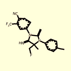 C=C1N(c2ccc(C#N)c(C(F)(F)F)c2)C(=N)C(C)(CF)N1c1ccc(C)cc1